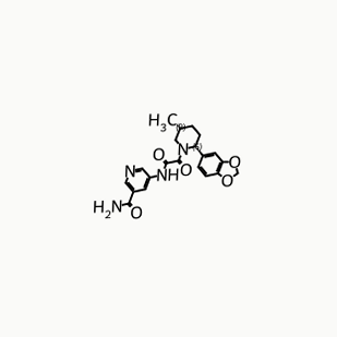 C[C@@H]1CC[C@@H](c2ccc3c(c2)OCO3)N(C(=O)C(=O)Nc2cncc(C(N)=O)c2)C1